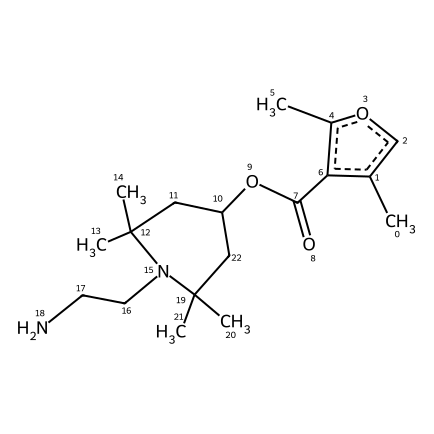 Cc1coc(C)c1C(=O)OC1CC(C)(C)N(CCN)C(C)(C)C1